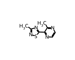 Cc1nsc(-c2nccnc2C)n1